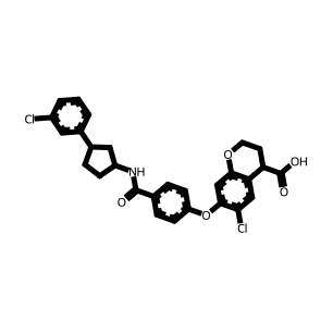 O=C(NC1CCC(c2cccc(Cl)c2)C1)c1ccc(Oc2cc3c(cc2Cl)C(C(=O)O)CCO3)cc1